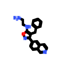 NCCNc1onc(-c2ccc3cnccc3c2)c1Cc1ccccc1